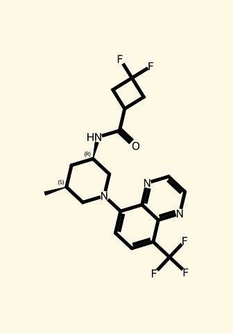 C[C@H]1C[C@@H](NC(=O)C2CC(F)(F)C2)CN(c2ccc(C(F)(F)F)c3nccnc23)C1